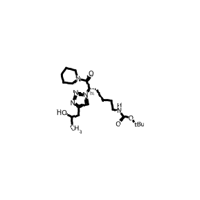 CC(O)Cc1cn([C@@H](CCCCNC(=O)OC(C)(C)C)C(=O)N2CCCCC2)nn1